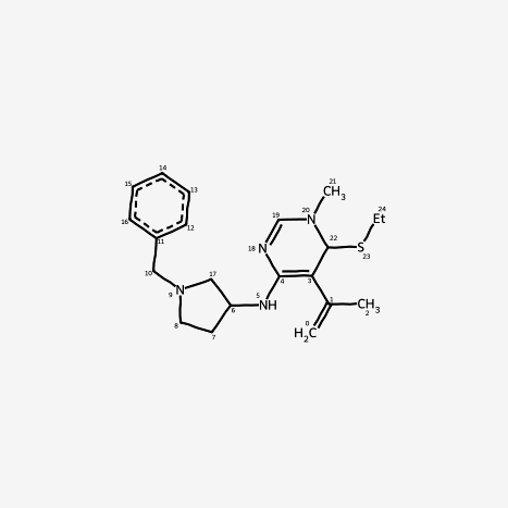 C=C(C)C1=C(NC2CCN(Cc3ccccc3)C2)N=CN(C)C1SCC